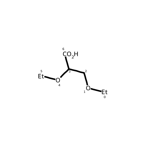 CCOCC(OCC)C(=O)O